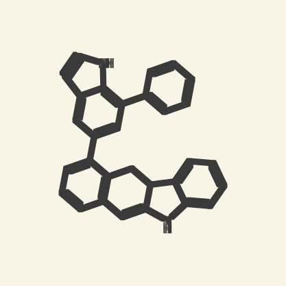 c1[nH]c2c(-c3ccccc3)cc(-c3cccc4c3CC3C(=C4)Nc4ccccc43)cc2c#1